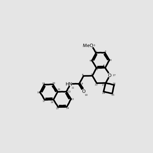 COc1ccc2c(c1)C(CC(=O)Nc1cccc3ccccc13)CC1(CCC1)O2